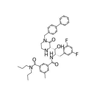 CCCN(CCC)C(=O)c1cc(C)cc(C(=O)N[C@@H](Cc2cc(F)cc(F)c2)C(O)[C@@H]2NCCN(Cc3ccc(-c4ccccc4)cc3)C2=O)c1